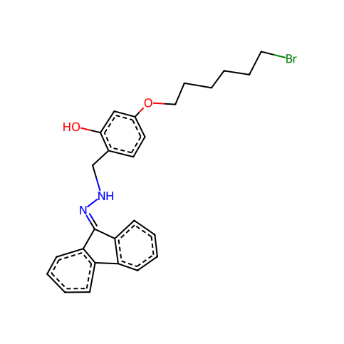 Oc1cc(OCCCCCCBr)ccc1CNN=C1c2ccccc2-c2ccccc21